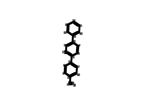 Nc1ccc(-c2ccc(-c3ccccc3)cn2)cc1